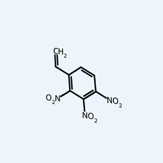 C=Cc1ccc([N+](=O)[O-])c([N+](=O)[O-])c1[N+](=O)[O-]